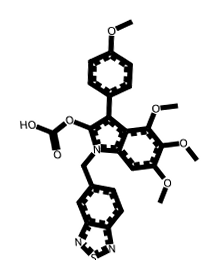 COc1ccc(-c2c(OC(=O)O)n(Cc3ccc4nsnc4c3)c3cc(OC)c(OC)c(OC)c23)cc1